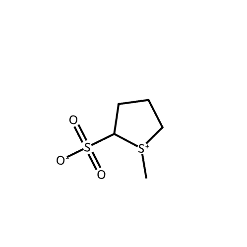 C[S+]1CCCC1S(=O)(=O)[O-]